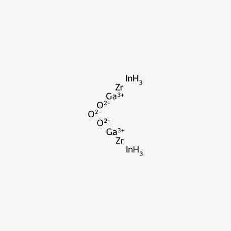 [Ga+3].[Ga+3].[InH3].[InH3].[O-2].[O-2].[O-2].[Zr].[Zr]